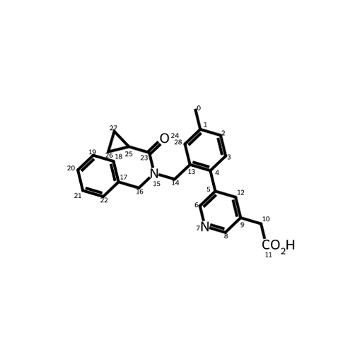 Cc1ccc(-c2cncc(CC(=O)O)c2)c(CN(Cc2ccccc2)C(=O)C2CC2)c1